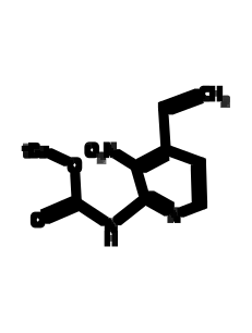 C=Cc1ccnc(NC(=O)OC(C)(C)C)c1[N+](=O)[O-]